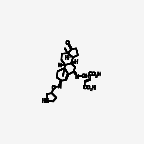 C[C@]12CC/C(=N\O[C@H]3CCNC3)C=C1/C(=N/O)C[C@@H]1[C@@H]2CC[C@]2(C)C(=O)CC[C@@H]12.O=C(O)/C=C/C(=O)O